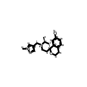 C[C@H]1C[C@@]2(CCN1Cc1cnn(C)c1)OCCc1ccc(Cl)cc12